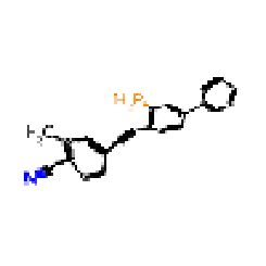 Cc1cc(C#Cc2ccc(-c3ccccc3)cc2P)ccc1C#N